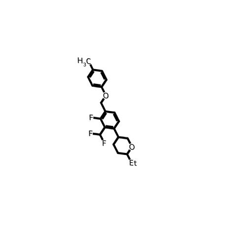 CCC1CCC(c2ccc(COc3ccc(C)cc3)c(F)c2C(F)F)CO1